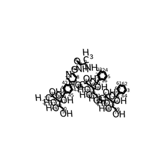 CC(N)C(=O)NOC1=CC(=O)CC=N1.CC(O)C(O)(OCc1ccccc1)C(O)C(O)CO.CC(O)C(O)(OCc1ccccc1)C(O)C(O)CO.CC(O)C(O)(OCc1ccccc1)C(O)C(O)CO